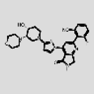 N#Cc1cccc(F)c1-c1cc(-n2ccc(N3CC[C@@H](O)[C@@H](N4CCOCC4)C3)n2)c2c(n1)CNC2=O